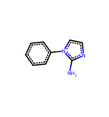 Nc1nccn1-c1cc[c]cc1